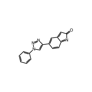 O=C1C=c2cc(-c3cn(-c4ccccc4)nn3)ccc2=N1